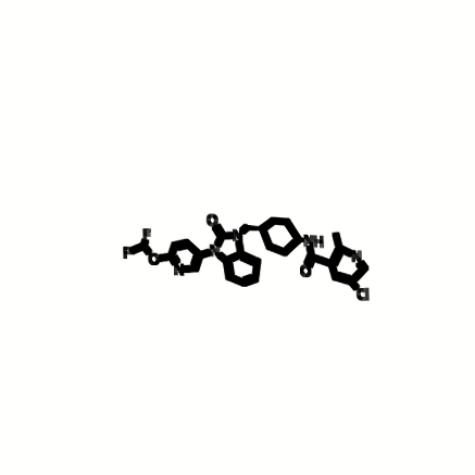 Cc1ncc(Cl)cc1C(=O)N[C@H]1CC[C@H](Cn2c(=O)n(-c3ccc(OC(F)F)nc3)c3ccccc32)CC1